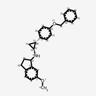 COc1ccc2c(c1)C(N[C@H]1C[C@@H]1c1ccc(OCc3ccccc3)cc1)CC2